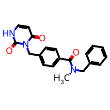 CN(Cc1ccccc1)C(=O)c1ccc(Cn2c(=O)cc[nH]c2=O)cc1